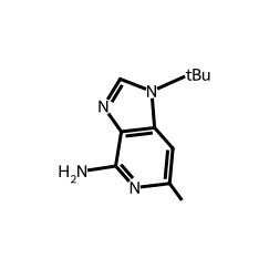 Cc1cc2c(ncn2C(C)(C)C)c(N)n1